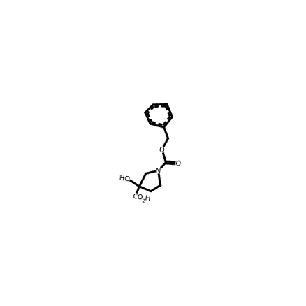 O=C(OCc1ccccc1)N1CCC(O)(C(=O)O)C1